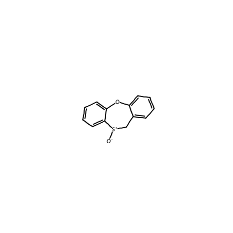 [O-][S+]1Cc2ccccc2Oc2ccccc21